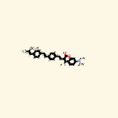 CCCN(CCC)c1ccc2c(CC)c(/C=C/c3ccc(/C=C/c4ccc(C=C(C#N)C(=O)O)cc4)cc3)c(=O)oc2c1